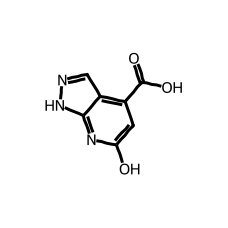 O=C(O)c1cc(O)nc2[nH]ncc12